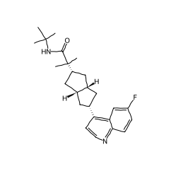 CC(C)(C)NC(=O)C(C)(C)[C@H]1C[C@H]2C[C@@H](c3ccnc4ccc(F)cc34)C[C@H]2C1